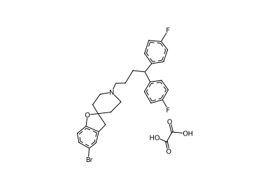 Fc1ccc(C(CCCN2CCC3(CC2)Cc2cc(Br)ccc2O3)c2ccc(F)cc2)cc1.O=C(O)C(=O)O